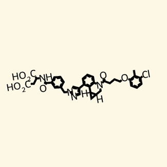 Cc1c(Cl)cccc1OCCCC(=O)N1C[C@@H]2C[C@@H]2c2c(-c3cnn(Cc4cccc(C(=O)NC(CC(=O)O)C(=O)O)c4)c3)cccc21